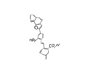 CCCc1cc(-c2cc3ccc4ccccc4c3o2)ccc1C=Cc1ccc(I)cc1C(=O)O